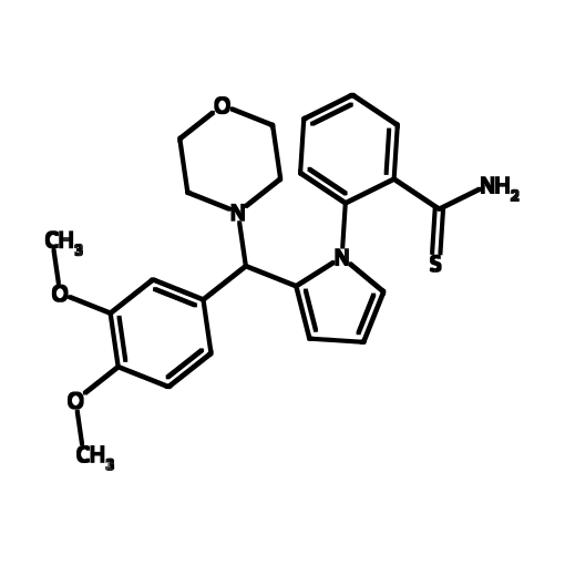 COc1ccc(C(c2cccn2-c2ccccc2C(N)=S)N2CCOCC2)cc1OC